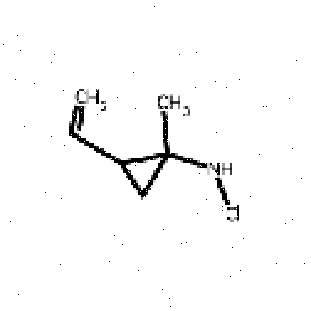 C=CC1CC1(C)NCl